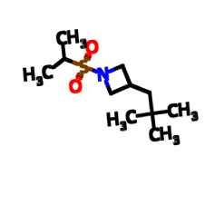 CC(C)S(=O)(=O)N1CC(CC(C)(C)C)C1